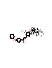 C=C(CC(C)(C)C)C(C)(C)Oc1c(C)cc(/C=C/C(=O)c2ccc(Oc3ccccc3)cc2)cc1C